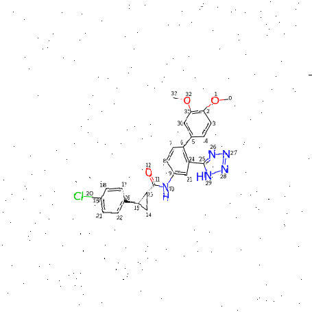 COc1ccc(-c2ccc(NC(=O)[C@@H]3C[C@H]3c3ccc(Cl)cc3)cc2-c2nnn[nH]2)cc1OC